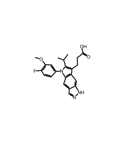 COc1cc(-n2c(C(C)C)c(CCC(=O)O)c3cc4[nH]ncc4cc32)ccc1F